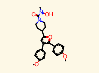 COc1ccc(-c2cc(C3CCN(C(=O)N(C)O)CC3)oc2-c2ccc(OC)cc2)cc1